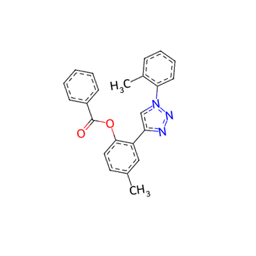 Cc1ccc(OC(=O)c2ccccc2)c(-c2cn(-c3ccccc3C)nn2)c1